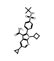 CC(C)(C)NS(=O)(=O)c1ccc(-c2c(C(N)=O)c3cc(C4CC4)cnc3n2C2CCC2)cc1